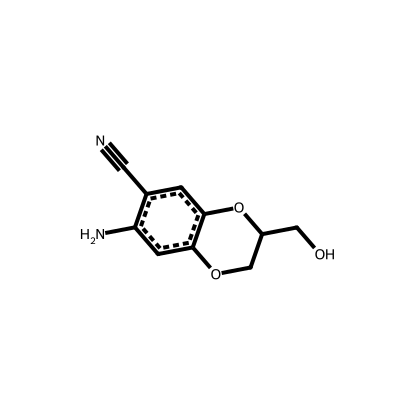 N#Cc1cc2c(cc1N)OCC(CO)O2